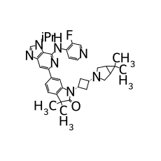 CC(C)n1cnc2cc(-c3ccc4c(c3)N([C@H]3C[C@@H](N5CC6C(C5)C6(C)C)C3)C(=O)C4(C)C)nc(Nc3ccncc3F)c21